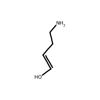 NCCC=CO